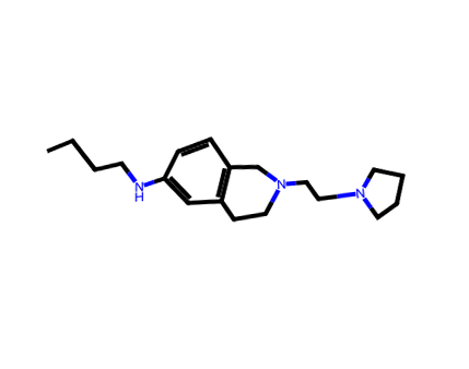 CCCCNc1ccc2c(c1)CCN(CCN1CCCC1)C2